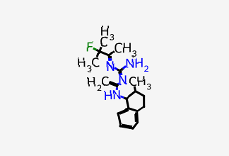 C=C(/N=C(N)\N=C(/C)C(C)(C)F)NC1c2ccccc2CCC1C